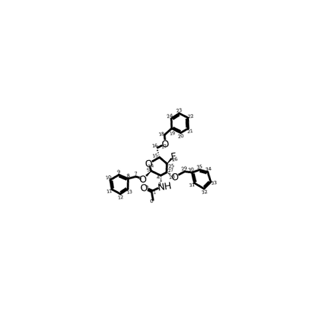 CC(=O)N[C@@H]1[C@@H](OCc2ccccc2)O[C@H](COCc2ccccc2)[C@@H](F)[C@@H]1OCc1ccccc1